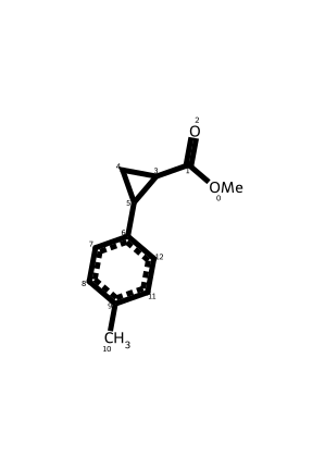 COC(=O)C1CC1c1ccc(C)cc1